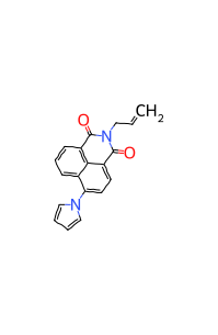 C=CCN1C(=O)c2cccc3c(-n4cccc4)ccc(c23)C1=O